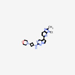 CCn1c(C)nc2ccc(-c3ccn4nc(N[C@H]5C[C@@H](N6CCOCC6)C5)ncc34)nc21